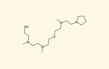 CN(CCO)CCN(C)CCOCCN(C)CCN1CCCC1